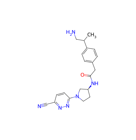 CC(CN)c1ccc(CC(=O)N[C@H]2CCN(c3ccc(C#N)nn3)C2)cc1